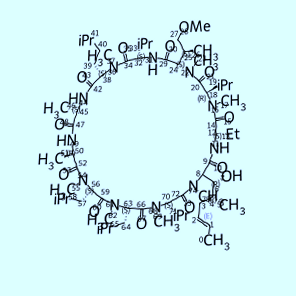 C/C=C/C[C@@H](C)[C@@H](O)C1C(=O)N[C@@H](CC)C(=O)N(C)[C@H](C(C)C)C(=O)N(C)[C@@H]([C@H](C)COC)C(=O)N[C@@H](C(C)C)C(=O)N(C)[C@@H](CCC(C)C)C(=O)N[C@@H](C)C(=O)N[C@H](C)C(=O)N(C)[C@@H](CC(C)C)C(=O)N(C)[C@@H](CC(C)C)C(=O)N(C)[C@@H](C(C)C)C(=O)N1C